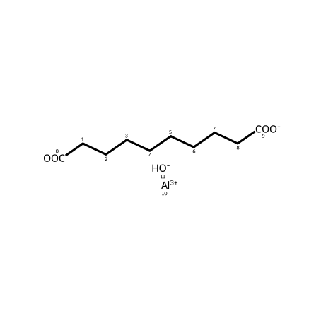 O=C([O-])CCCCCCCCC(=O)[O-].[Al+3].[OH-]